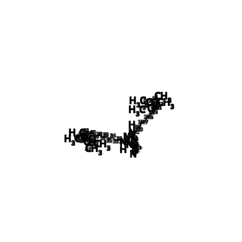 CCO[Si](OCC)(OCC)C(CC)CCCCCCCCCNc1nc(N=[N+]=[N-])nc(NCCCCCCCCCC(CC)[Si](OCC)(OCC)OCC)n1